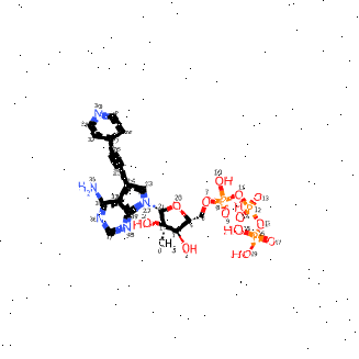 C[C@@]1(O)[C@H](O)[C@@H](COP(=O)(O)OP(=O)(O)OP(=O)(O)O)O[C@H]1n1cc(C#Cc2ccncc2)c2c(N)ncnc21